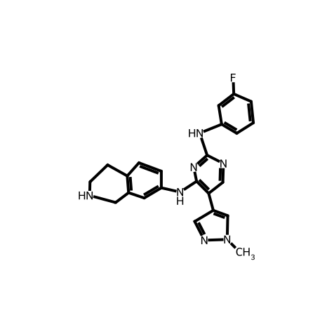 Cn1cc(-c2cnc(Nc3cccc(F)c3)nc2Nc2ccc3c(c2)CNCC3)cn1